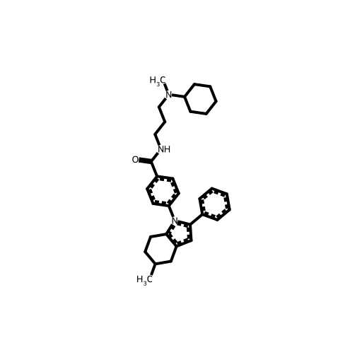 CC1CCc2c(cc(-c3ccccc3)n2-c2ccc(C(=O)NCCCN(C)C3CCCCC3)cc2)C1